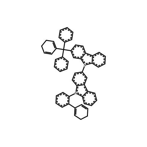 C1=CC(c2ccccc2-n2c3ccccc3c3cc(-n4c5ccccc5c5ccc(C(C6=CCCC=C6)(c6ccccc6)c6ccccc6)cc54)ccc32)=CCC1